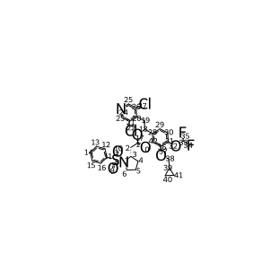 O=C(C[C@@H]1CCCN1S(=O)(=O)c1ccccc1)O[C@@H](Cc1c(Cl)cncc1Cl)c1ccc(OC(F)F)c(OCC2CC2)c1